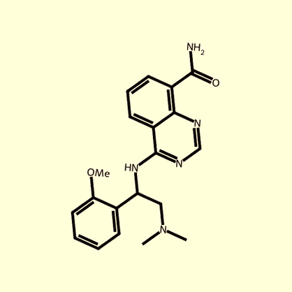 COc1ccccc1C(CN(C)C)Nc1ncnc2c(C(N)=O)cccc12